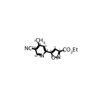 CCOC(=O)c1cc(-c2cc(C)c(C#N)cn2)on1